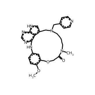 COc1ccc2cc1OCC(=O)N(C)CCCN(Cc1ccncc1)Cc1c[nH]c3ncnc(c13)N2